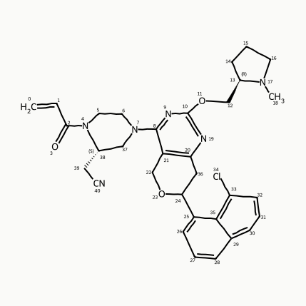 C=CC(=O)N1CCN(c2nc(OC[C@H]3CCCN3C)nc3c2COC(c2cccc4cccc(Cl)c24)C3)C[C@@H]1CC#N